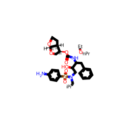 CC(C)CN(CC(O)C(Cc1ccccc1)NC(=O)O[C@H]1CO[C@H]2OCC[C@H]21)S(=O)(=O)c1ccc(N)cc1.CCCOCC